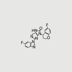 O=c1[nH]c2cnc(-n3cnc4ccc(F)cc43)nc2n1[C@@H]1CCOc2ccc(F)cc21